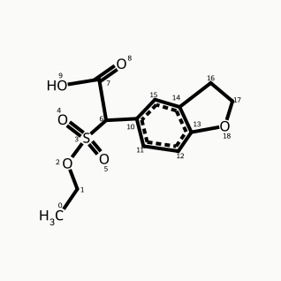 CCOS(=O)(=O)C(C(=O)O)c1ccc2c(c1)CCO2